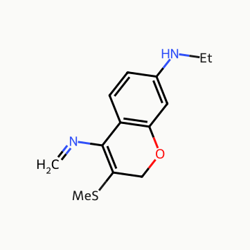 C=NC1=C(SC)COc2cc(NCC)ccc21